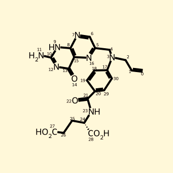 C=CCN(Cc1cnc2[nH]c(N)nc(=O)c2n1)c1ccc(C(=O)N[C@@H](CCC(=O)O)C(=O)O)cc1